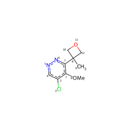 COc1c(Cl)cnnc1C1(C)COC1